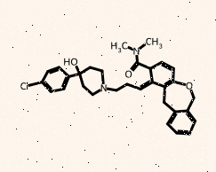 CN(C)C(=O)C1C=CC2=C(Cc3ccccc3CO2)/C1=C/CCN1CCC(O)(c2ccc(Cl)cc2)CC1